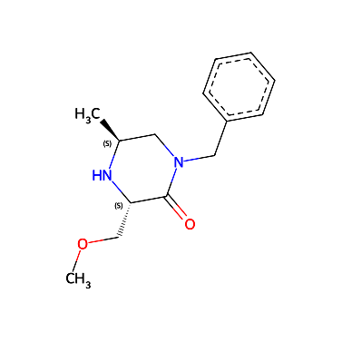 COC[C@@H]1N[C@@H](C)CN(Cc2ccccc2)C1=O